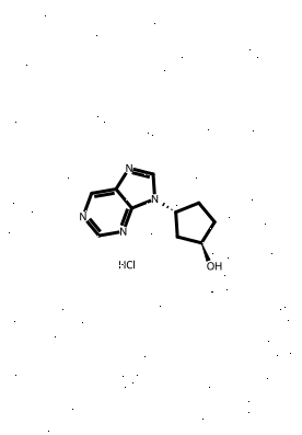 Cl.O[C@@H]1CC[C@@H](n2cnc3cncnc32)C1